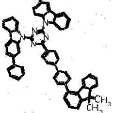 CC1(C)c2ccccc2-c2c(-c3ccc(-c4ccc(-c5nc(-n6c7ccccc7c7ccccc76)nc(-n6c7ccccc7c7ccc(-c8ccccc8)cc76)n5)cc4)cc3)cccc21